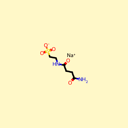 NC(=O)CCC(=O)NCCS(=O)(=O)[O-].[Na+]